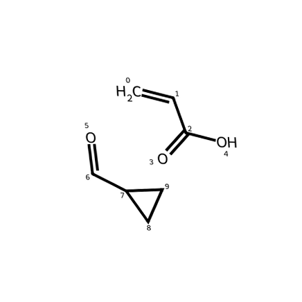 C=CC(=O)O.O=CC1CC1